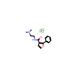 CN(C)CCNC(=O)c1ccoc1-c1ccccc1.Cl.Cl